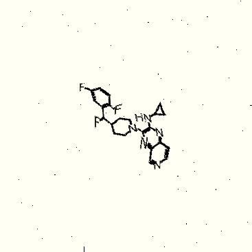 Fc1ccc(F)c(C(F)C2CCN(c3nc4cnccc4nc3NC3CC3)CC2)c1